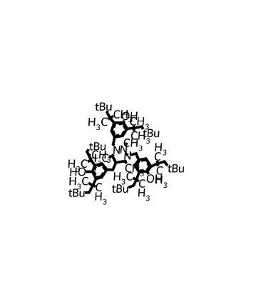 CC1C(Cc2cc(C(C)(C)CC(C)(C)C)c(O)c(C(C)(C)CC(C)(C)C)c2)C(C)N(Cc2cc(C(C)(C)CC(C)(C)C)c(O)c(C(C)(C)CC(C)(C)C)c2)N(C)N1Cc1cc(C(C)(C)CC(C)(C)C)c(O)c(C(C)(C)CC(C)(C)C)c1